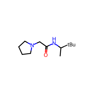 CC(NC(=O)CN1CCCC1)C(C)(C)C